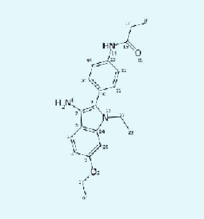 CCOc1ccc2c(N)c(-c3ccc(NC(=O)CC)cc3)n(CC)c2c1